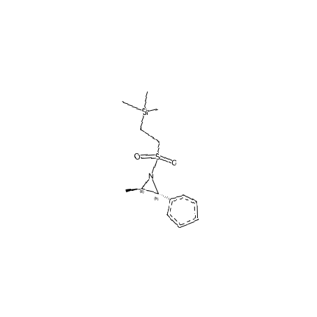 C[C@@H]1[C@@H](c2ccccc2)N1S(=O)(=O)CC[Si](C)(C)C